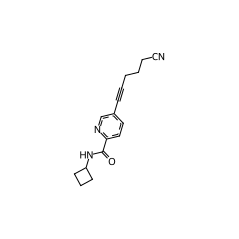 N#CCCCC#Cc1ccc(C(=O)NC2CCC2)nc1